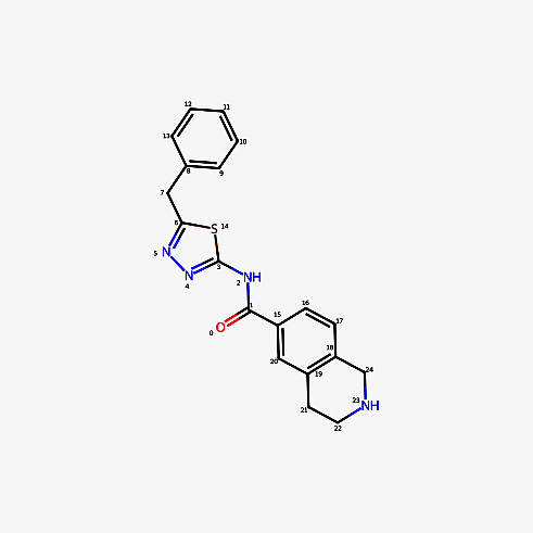 O=C(Nc1nnc(Cc2ccccc2)s1)c1ccc2c(c1)CCNC2